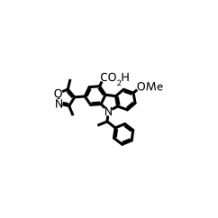 COc1ccc2c(c1)c1c(C(=O)O)cc(-c3c(C)noc3C)cc1n2C(C)c1ccccc1